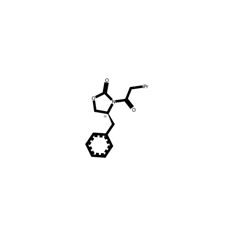 CC(C)CC(=O)N1C(=O)OC[C@@H]1Cc1ccccc1